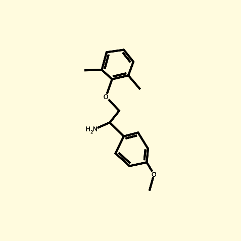 COc1ccc(C(N)COc2c(C)cccc2C)cc1